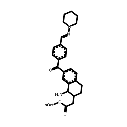 CCCCCCCCOC(=O)CC1CCc2ccc(C(=O)c3ccc(C=NN4CCCCC4)cc3)cc2C1N